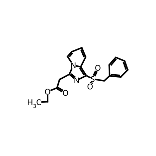 CCOC(=O)Cc1nc(S(=O)(=O)Cc2ccccc2)c2ccccn12